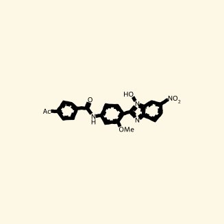 COc1cc(NC(=O)c2ccc(C(C)=O)cc2)ccc1-c1nc2ccc([N+](=O)[O-])cc2n1O